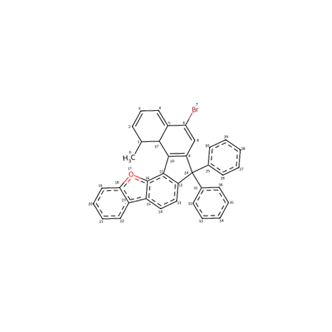 CC1C=CC=C2C(Br)=CC3=C(c4c(ccc5c4oc4ccccc45)C3(c3ccccc3)c3ccccc3)C21